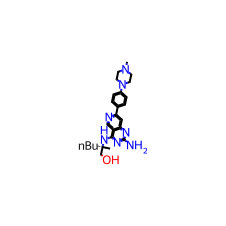 CCCC[C@](C)(CO)Nc1nc(N)nc2cc(-c3ccc(N4CCN(C)CC4)cc3)ncc12